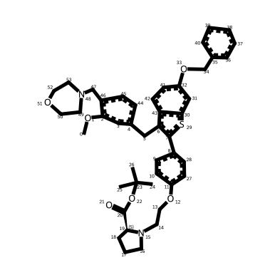 COc1cc(Cc2c(-c3ccc(OCCN4CCC[C@H]4C(=O)OC(C)(C)C)cc3)sc3cc(OCc4ccccc4)ccc23)ccc1CN1CCOCC1